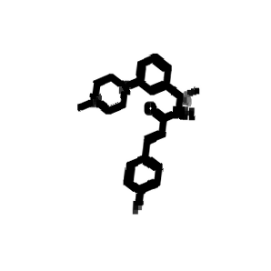 C[C@H](NC(=O)C=Cc1ccc(F)cc1)c1cccc(N2CCN(C)CC2)c1